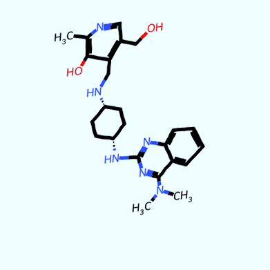 Cc1ncc(CO)c(CN[C@H]2CC[C@@H](Nc3nc(N(C)C)c4ccccc4n3)CC2)c1O